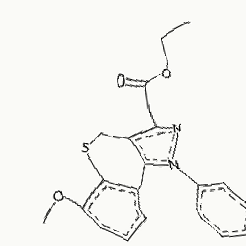 CCOC(=O)c1nn(-c2ccccc2)c2c1CSc1c(OC)cccc1-2